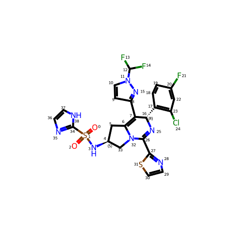 O=S(=O)(N[C@H]1CC2=C(c3ccn(C(F)F)n3)[C@H](c3ccc(F)cc3Cl)N=C(c3nccs3)N2C1)c1ncc[nH]1